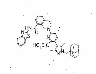 Cc1nn(CC23CC4CC(CC(C4)C2)C3)c(C)c1-c1ccc(N2CCc3cccc(C(=O)Nc4nc5ccccc5s4)c3C2)nc1OC(=O)O